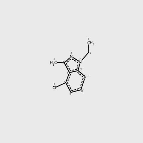 CCn1nc(C)c2c(Cl)ccnc21